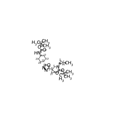 C[C@@H]1C[C@H]1N(CC1(c2nnc([C@H]3CC[C@H](NC(=O)OC(C)(C)C)CC3)o2)CC1)C(=O)OC(C)(C)C